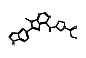 CCC(=O)N1CCC(Nc2ncnc3c2nc(-c2ccc4[nH]ccc4c2)n3C)C1